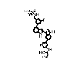 CC(C)(C)CC(O)Nc1cncc(-c2ccc3[nH]nc(-c4cc5c(-c6cc(F)cc(CNS(C)(=O)=O)c6)cccc5[nH]4)c3c2)c1